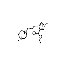 CCOC(=O)c1cn(C)cc1CCCN1CCN(C)CC1